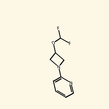 FC(F)OC1CN(c2ccccn2)C1